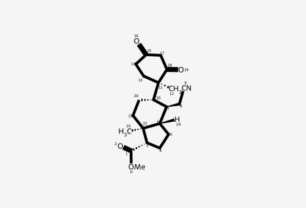 COC(=O)[C@H]1CC[C@H]2[C@H](CC#N)[C@@H]([C@@]3(C)CCC(=O)CC3=O)CC[C@]12C